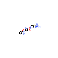 O=C(Nc1ccc(OC(=O)N2CCC(Sc3nc[nH]n3)CC2)nc1)c1ccccc1